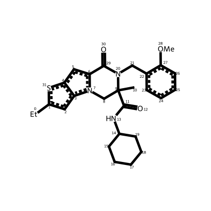 CCc1cc2c(cc3n2CC(C)(C(=O)NC2CCCCC2)N(Cc2ccccc2OC)C3=O)s1